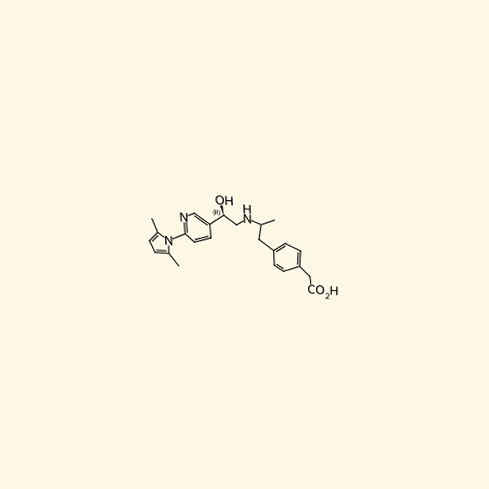 Cc1ccc(C)n1-c1ccc([C@@H](O)CNC(C)Cc2ccc(CC(=O)O)cc2)cn1